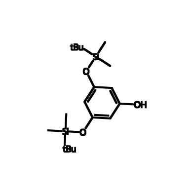 CC(C)(C)[Si](C)(C)Oc1cc(O)cc(O[Si](C)(C)C(C)(C)C)c1